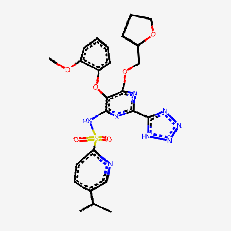 COc1ccccc1Oc1c(NS(=O)(=O)c2ccc(C(C)C)cn2)nc(-c2nnn[nH]2)nc1OCC1CCCO1